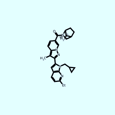 CCc1ccc2cc(-c3nn4cc(C(=O)N5CC6CCC5[C@@H]6N)ccc4c3C)n(CC3CC3)c2n1